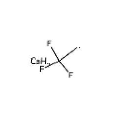 [CH2]C(F)(F)F.[CaH2]